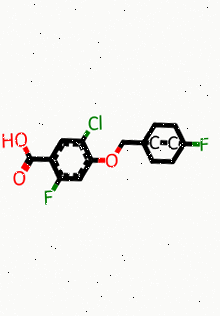 O=C(O)c1cc(Cl)c(OCC23CCC(F)(CC2)CC3)cc1F